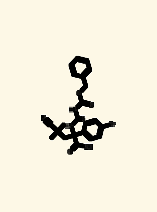 CC(C)(C#N)CC(NC(=S)NC(=O)OCc1ccccc1)(C(=O)O)c1ccc(Br)cc1